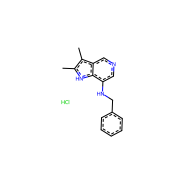 Cc1[nH]c2c(NCc3ccccc3)cncc2c1C.Cl